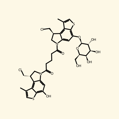 Cc1csc2c(O)cc3c(c12)[C@H](CCl)CN3C(=O)CCCC(=O)N1C[C@@H](CCl)c2c1cc(O[C@@H]1O[C@H](CO)[C@H](O)[C@H](O)[C@H]1O)c1scc(C)c21